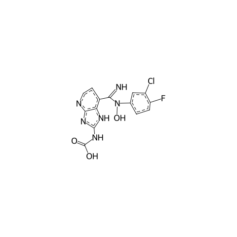 N=C(c1ccnc2nc(NC(=O)O)[nH]c12)N(O)c1ccc(F)c(Cl)c1